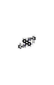 CN1CCN=C1N/N=C/c1c2ccccc2c(/C=N/NC2=NCCN2)c2ccccc12